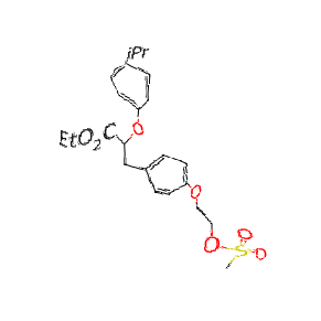 CCOC(=O)C(Cc1ccc(OCCOS(C)(=O)=O)cc1)Oc1ccc(C(C)C)cc1